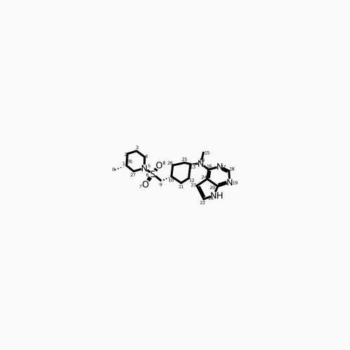 C[C@@H]1CCCN(S(=O)(=O)C[C@H]2CC[C@H](N(C)c3ncnc4[nH]ccc34)CC2)C1